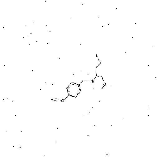 COc1ccc(CN2CCOCC2CCI)cc1